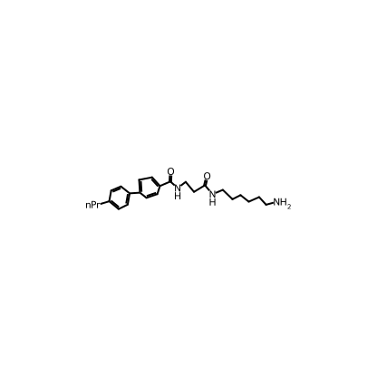 CCCc1ccc(-c2ccc(C(=O)NCCC(=O)NCCCCCCN)cc2)cc1